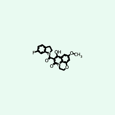 COc1cc2c3c(c1)c(O)c(C(=O)N1CCc4ccc(F)cc41)c(=O)n3CCO2